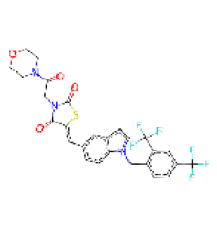 O=C(CN1C(=O)SC(=Cc2ccc3c(ccn3Cc3ccc(C(F)(F)F)cc3C(F)(F)F)c2)C1=O)N1CCOCC1